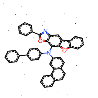 c1ccc(-c2ccc(N(c3ccc4ccc5ccccc5c4c3)c3c4oc(-c5ccccc5)nc4cc4c3oc3ccccc34)cc2)cc1